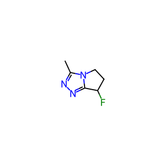 Cc1nnc2n1CCC2F